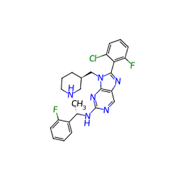 C[C@H](Nc1ncc2nc(-c3c(F)cccc3Cl)n(C[C@@H]3CCCNC3)c2n1)c1ccccc1F